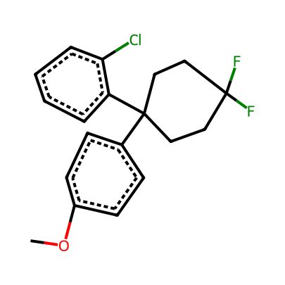 COc1ccc(C2(c3ccccc3Cl)CCC(F)(F)CC2)cc1